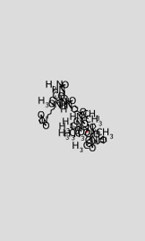 CC[C@H](C)[C@@H]([C@@H](CC(=O)N1CCC[C@H]1[C@H](OC)[C@@H](C)C(=O)N[C@@H](Cc1ccccc1)C(=O)OC)OC)N(C)C(=O)[C@@H](NC(=O)c1ccc(NC(=O)[C@H](CCCNC(N)=O)NC(=O)[C@@H](NC(=O)CCCCCN2C(=O)C=CC2=O)C(C)C)cc1)C(C)C